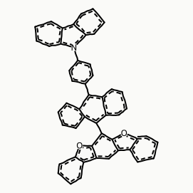 c1ccc2c(c1)oc1c(-c3c4ccccc4c(-c4ccc(-n5c6ccccc6c6ccccc65)cc4)c4ccccc34)c3oc4ccccc4c3cc12